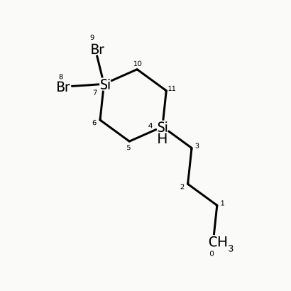 CCCC[SiH]1CC[Si](Br)(Br)CC1